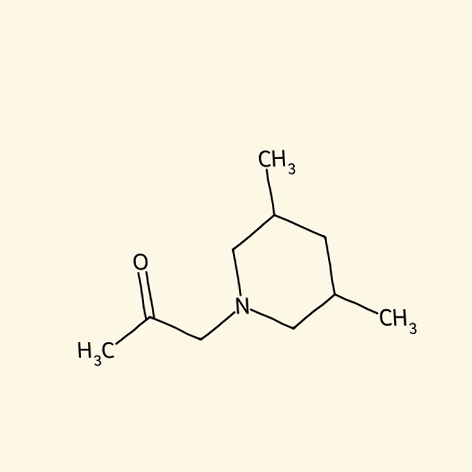 CC(=O)CN1CC(C)CC(C)C1